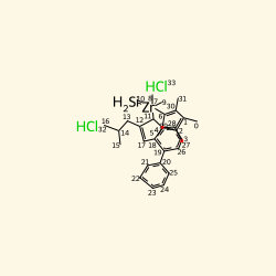 CC1=C(C)C(C)[C]([Zr]([CH3])([CH3])(=[SiH2])[CH]2C(CC(C)C)=Cc3c(-c4ccccc4)cccc32)=C1C.Cl.Cl